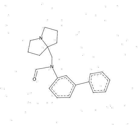 O=CN(CC12CCCN1CCC2)c1cccc(-c2ccccc2)c1